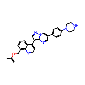 C=C(C)OCc1cccc2c(-c3cnn4cc(-c5ccc(N6CCNCC6)cc5)cnc34)ccnc12